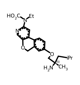 CCN(C(=O)O)c1cc2c(cn1)OCc1cc(OC[C@@](C)(N)CC(C)C)ccc1-2